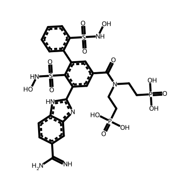 N=C(N)c1ccc2[nH]c(-c3cc(C(=O)N(CCP(=O)(O)O)CCP(=O)(O)O)cc(-c4ccccc4S(=O)(=O)NO)c3S(=O)(=O)NO)nc2c1